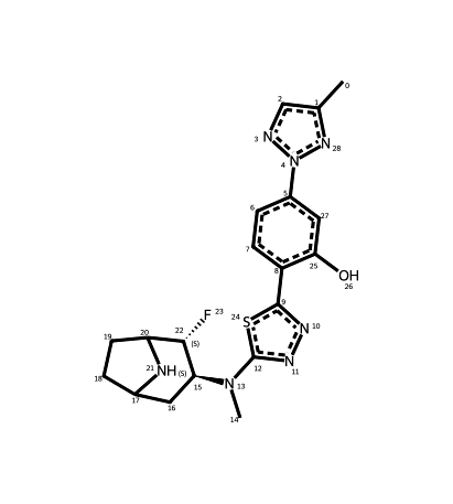 Cc1cnn(-c2ccc(-c3nnc(N(C)[C@H]4CC5CCC(N5)[C@@H]4F)s3)c(O)c2)n1